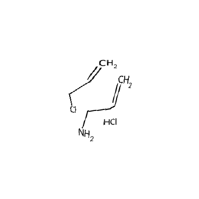 C=CCCl.C=CCN.Cl